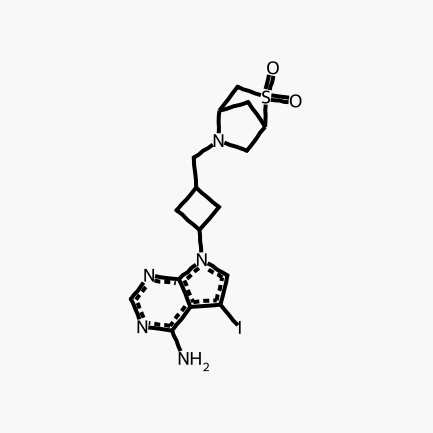 Nc1ncnc2c1c(I)cn2C1CC(CN2CC3CC2CS3(=O)=O)C1